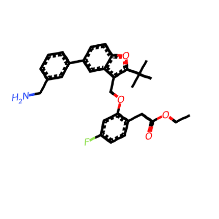 CCOC(=O)Cc1ccc(F)cc1OCc1c(C(C)(C)C)oc2ccc(-c3cccc(CN)c3)cc12